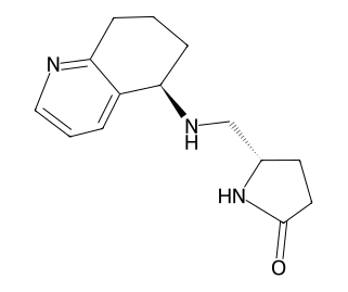 O=C1CC[C@@H](CN[C@@H]2CCCc3ncccc32)N1